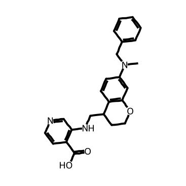 CN(Cc1ccccc1)c1ccc2c(c1)OCCC2CNc1cnccc1C(=O)O